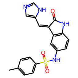 Cc1ccc(S(=O)(=O)Nc2ccc3c(c2)C(=Cc2cnc[nH]2)C(=O)N3)cc1